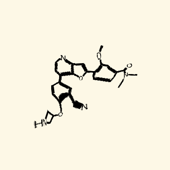 COc1cc(C(=O)N(C)C)ccc1-c1cc2nccc(-c3ccc(OC4CNC4)c(C#N)c3)c2o1